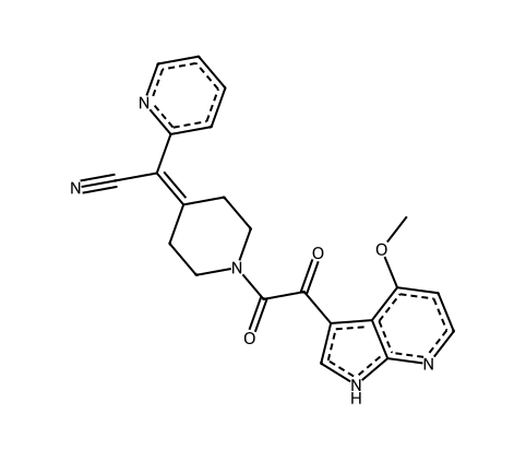 COc1ccnc2[nH]cc(C(=O)C(=O)N3CCC(=C(C#N)c4ccccn4)CC3)c12